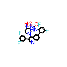 CC1CCN(c2c(-c3cc(F)cc(F)c3)cnc3ccc(-c4cc(F)cc(F)c4NC(=O)NO)cc23)CC1